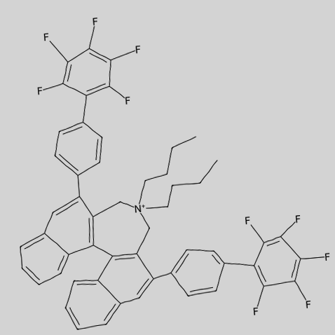 CCCC[N+]1(CCCC)Cc2c(-c3ccc(-c4c(F)c(F)c(F)c(F)c4F)cc3)cc3ccccc3c2-c2c(c(-c3ccc(-c4c(F)c(F)c(F)c(F)c4F)cc3)cc3ccccc23)C1